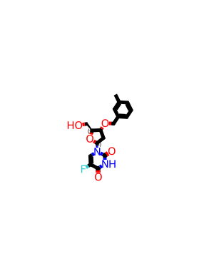 Cc1cccc(COC2C[C@@H](n3cc(F)c(=O)[nH]c3=O)O[C@H]2CO)c1